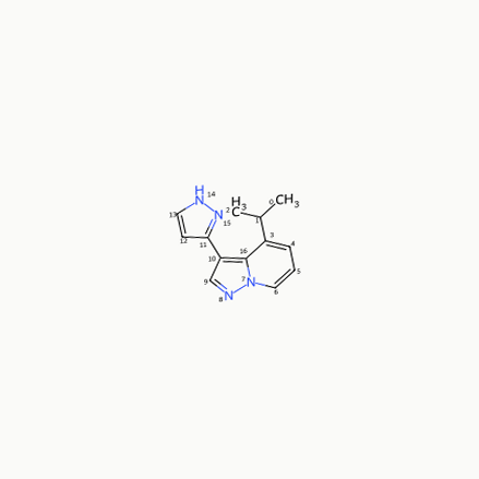 CC(C)c1cccn2ncc(-c3cc[nH]n3)c12